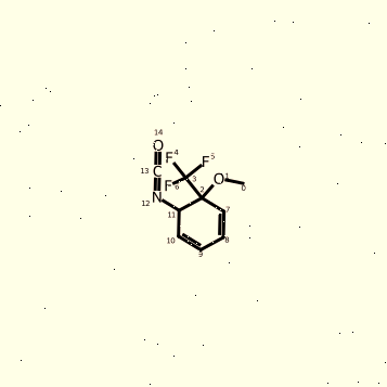 COC1(C(F)(F)F)C=CC=CC1N=C=O